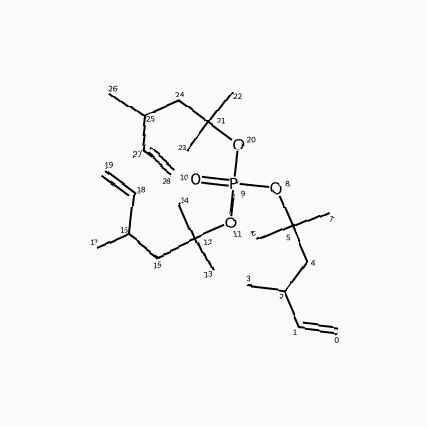 C=CC(C)CC(C)(C)OP(=O)(OC(C)(C)CC(C)C=C)OC(C)(C)CC(C)C=C